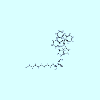 CCCCCCCCCCN(C)C(=O)OC[C@@H]1CC[C@@]2(COC(c3ccccc3)(c3ccccc3)c3ccccc3)CCCN12